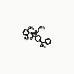 CCCNC1(C(=O)Nc2c(C)cccc2C)CCN(C(C)c2ccccc2)CC1